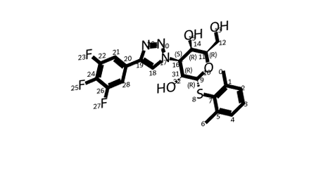 Cc1cccc(C)c1S[C@H]1O[C@H](CO)[C@H](O)[C@H](n2cc(-c3cc(F)c(F)c(F)c3)nn2)[C@H]1O